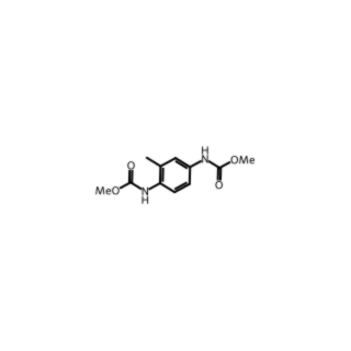 COC(=O)Nc1ccc(NC(=O)OC)c(C)c1